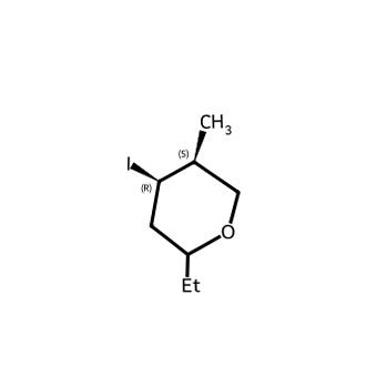 [CH2]CC1C[C@@H](I)[C@@H](C)CO1